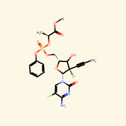 CC#C[C@@]1(Cl)C(O)[C@@H](COP(=O)(Oc2ccccc2)O[C@@H](C)C(=O)OC(C)C)O[C@H]1n1cc(F)c(N)nc1=O